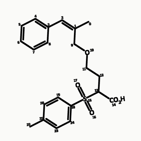 CC(=Cc1ccccc1)COCCC(C(=O)O)S(=O)(=O)c1ccc(C)cc1